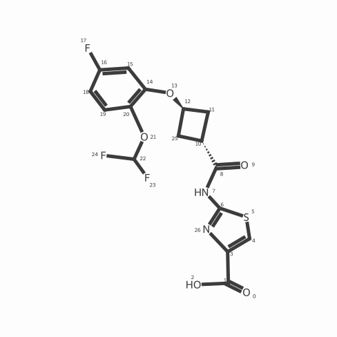 O=C(O)c1csc(NC(=O)[C@H]2C[C@H](Oc3cc(F)ccc3OC(F)F)C2)n1